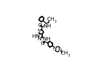 CCC(NC(=O)c1cc2c(NC(=O)c3ccc(N4CCN(C)CC4)cc3)n[nH]c2s1)c1ccccc1